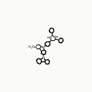 CN1CCC2C(C1)c1cc(-n3c4ccccc4c4ccccc43)ccc1N2c1ccc(C2CC(c3ccccc3)NC(c3ccccc3)N2)cc1